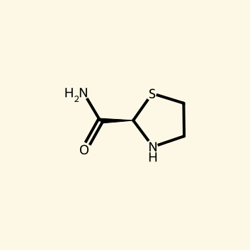 NC(=O)[C@@H]1NCCS1